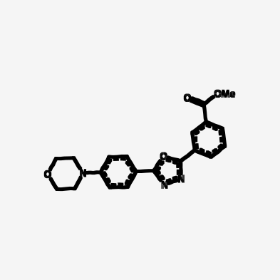 COC(=O)c1cccc(-c2nnc(-c3ccc(N4CCOCC4)cc3)o2)c1